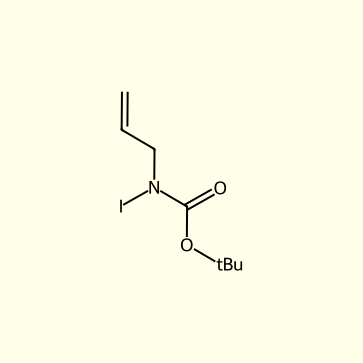 C=CCN(I)C(=O)OC(C)(C)C